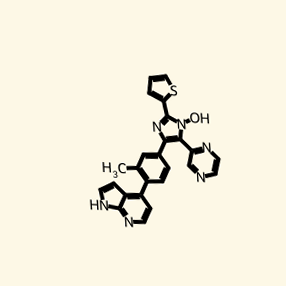 Cc1cc(-c2nc(-c3cccs3)n(O)c2-c2cnccn2)ccc1-c1ccnc2[nH]ccc12